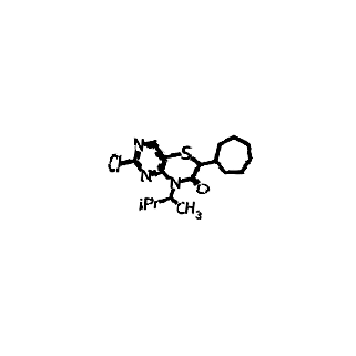 CC(C)C(C)N1C(=O)C(C2CCCCCC2)Sc2cnc(Cl)nc21